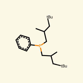 CC(CP(CC(C)CC(C)(C)C)c1ccccc1)CC(C)(C)C